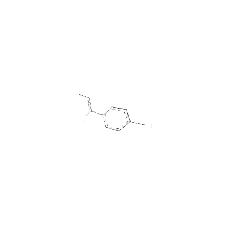 CC=C(O)c1ccc(C(C)C)cc1